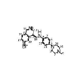 CN1CCN(c2ccc(NC=C3CN=Cc4ccc(Br)cc43)cc2)CC1